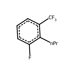 CCCc1c(F)cccc1C(F)(F)F